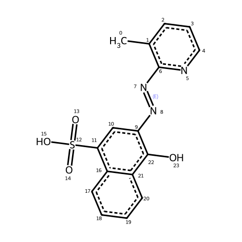 Cc1cccnc1/N=N/c1cc(S(=O)(=O)O)c2ccccc2c1O